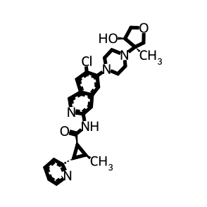 C[C@@H]1[C@H](C(=O)Nc2cc3cc(N4CCN([C@]5(C)COC[C@@H]5O)CC4)c(Cl)cc3cn2)[C@H]1c1ccccn1